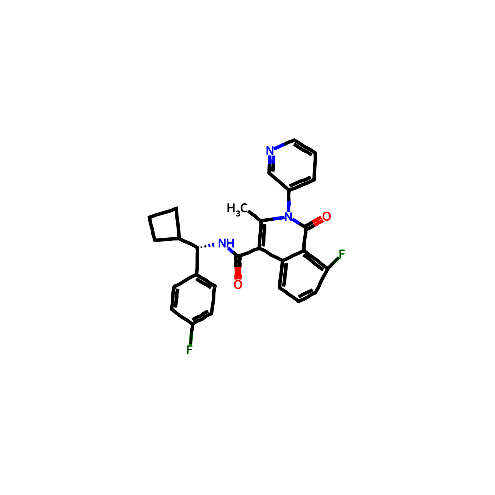 Cc1c(C(=O)N[C@H](c2ccc(F)cc2)C2CCC2)c2cccc(F)c2c(=O)n1-c1cccnc1